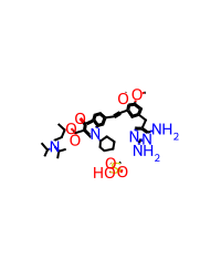 COc1cc(Cc2cnc(N)nc2N)cc(C#Cc2ccc3c(=O)c(C(=O)OC(C)CCN(C(C)C)C(C)C)cn(C4CCCCC4)c3c2)c1OC.CS(=O)(=O)O